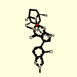 Cn1cc2c(Cl)c(-c3c[nH]c4nc(N5[C@@H]6CC[C@H]5[C@H](F)[C@H](NC(=O)O)C6)n(C)c(=O)c34)ccc2n1